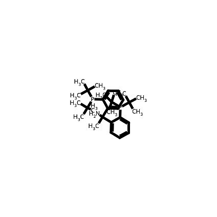 CC(N)(c1ccccc1P(C(C)(C)C)C(C)(C)C)c1ccccc1P(C(C)(C)C)C(C)(C)C